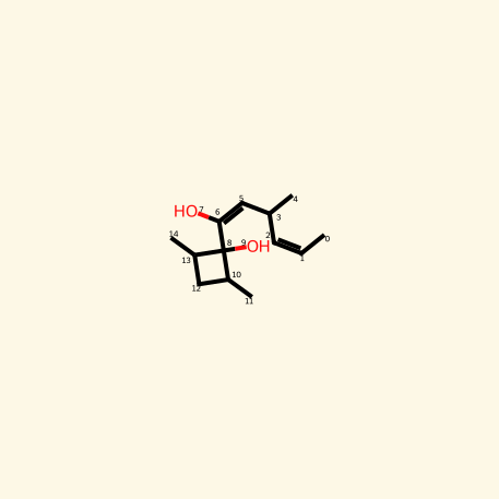 C/C=C\C(C)/C=C(/O)C1(O)C(C)CC1C